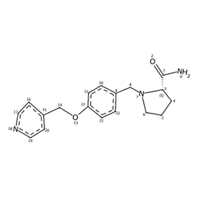 NC(=O)[C@@H]1CCCN1Cc1ccc(OCc2ccncc2)cc1